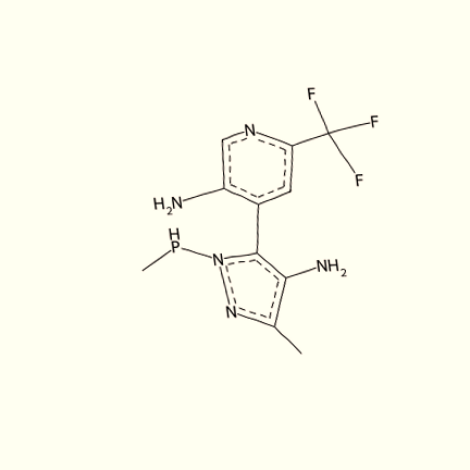 CPn1nc(C)c(N)c1-c1cc(C(F)(F)F)ncc1N